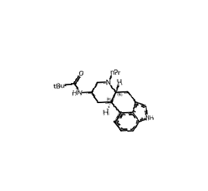 CCCN1CC(NC(=O)C(C)(C)C)C[C@@H]2c3cccc4[nH]cc(c34)C[C@H]21